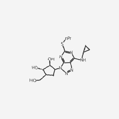 CCCSc1nc(NC2CC2)c2nnn(C3CC(CO)[C@@H](O)C3O)c2n1